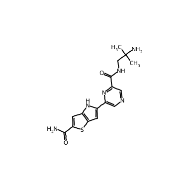 CC(C)(N)CNC(=O)c1cncc(-c2cc3sc(C(N)=O)cc3[nH]2)n1